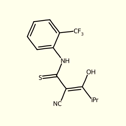 CC(C)C(O)=C(C#N)C(=S)Nc1ccccc1C(F)(F)F